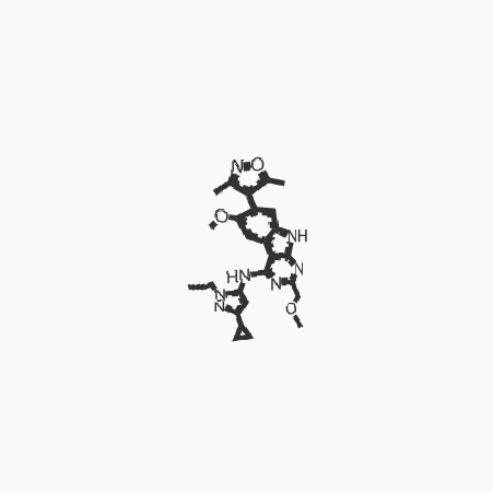 CCn1nc(C2CC2)cc1Nc1nc(COC)nc2[nH]c3cc(-c4c(C)noc4C)c(OC)cc3c12